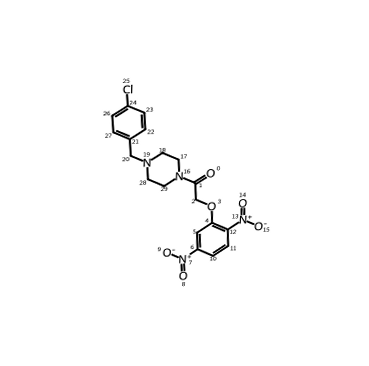 O=C(COc1cc([N+](=O)[O-])ccc1[N+](=O)[O-])N1CCN(Cc2ccc(Cl)cc2)CC1